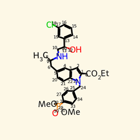 CCOC(=O)c1cc2cc(C[C@@H](C)NC[C@H](O)c3cccc(Cl)c3)ccc2n1Cc1ccc(P(=O)(OC)OC)cc1